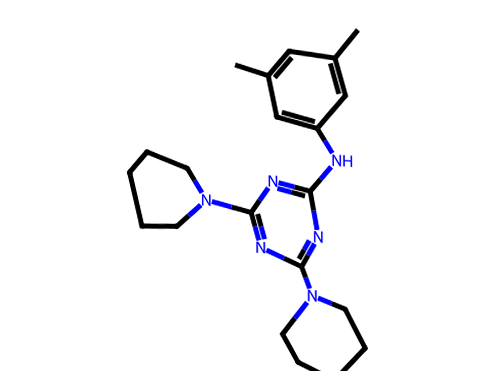 Cc1cc(C)cc(Nc2nc(N3CCCCC3)nc(N3CCCCC3)n2)c1